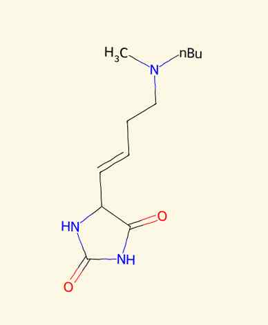 CCCCN(C)CCC=CC1NC(=O)NC1=O